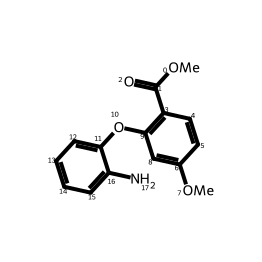 COC(=O)c1ccc(OC)cc1Oc1ccccc1N